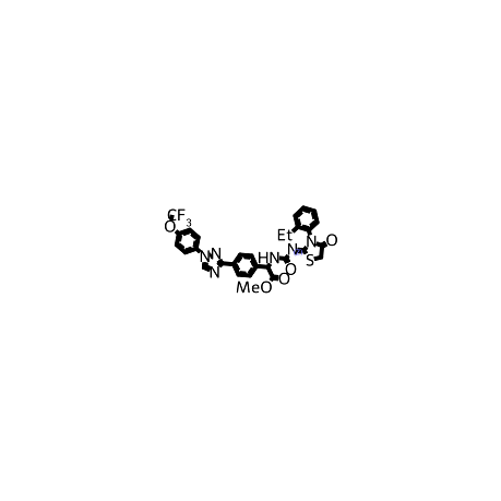 CCc1ccccc1N1C(=O)CS/C1=N\C(=O)NC(C(=O)OC)c1ccc(-c2ncn(-c3ccc(OC(F)(F)F)cc3)n2)cc1